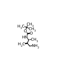 C=C(CN)[C@H](C)NC(=O)OC(C)(C)C